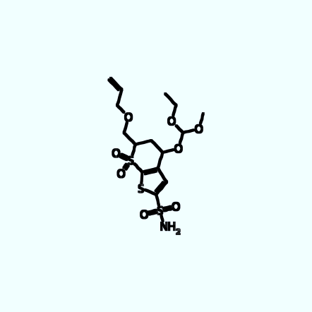 C=CCOCC1CC(OC(OC)OCC)c2cc(S(N)(=O)=O)sc2S1(=O)=O